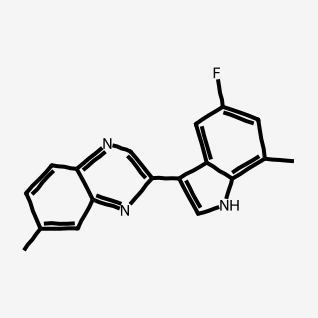 Cc1ccc2ncc(-c3c[nH]c4c(C)cc(F)cc34)nc2c1